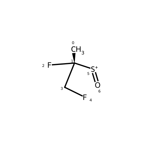 C[C@](F)(CF)[S+]=O